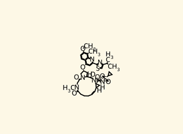 COc1ccc2c(O[C@@H]3C[C@H]4C(=O)N[C@]5(C(=O)NS(=O)(=O)C6CC6)C[C@H]5/C=C\CCCC(=O)N(C)CC(=O)N4C3)cc(-c3nc(C(C)C)cs3)nc2c1C